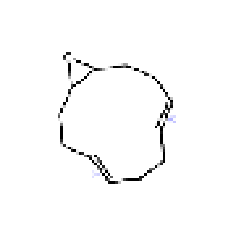 C1=C/CCC2OC2CC/C=C/CC/1